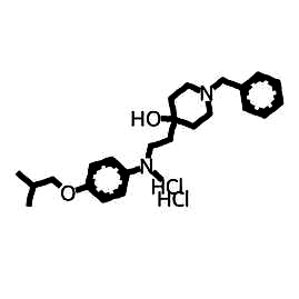 CC(C)COc1ccc(N(C)CCC2(O)CCN(Cc3ccccc3)CC2)cc1.Cl.Cl